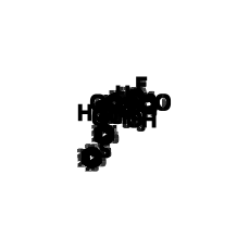 C[C@]12C=CC(=O)C=C1[C@@H](F)C[C@H]1[C@@H]3CC[C@@](OC(=O)c4ccc(Sc5ccccc5)cc4)(C(=O)O)[C@@]3(C)C[C@H](O)C12F